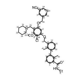 CCNC(=O)c1cccc(-c2cccc(COc3cc(OCc4cncc(C#N)c4)c(CN4CCCC[C@H]4C(=O)O)cc3Cl)c2C)c1C